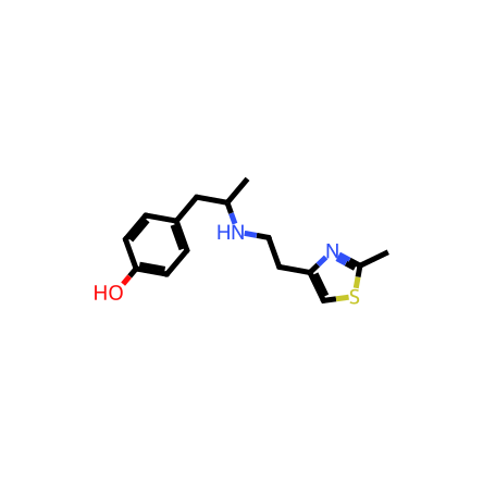 Cc1nc(CCNC(C)Cc2ccc(O)cc2)cs1